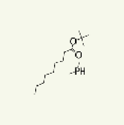 CCCCCCCCC(=O)OC(C)(C)C.CPC